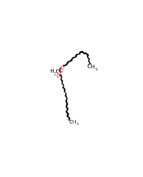 [CH2][C@H](COCCCCCCCC/C=C\C/C=C\CCCCC)OC(=O)CCCCCCCCCCCCCCCCCCCCC